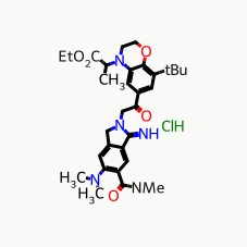 CCOC(=O)C(C)N1CCOc2c1cc(C(=O)CN1Cc3cc(N(C)C)c(C(=O)NC)cc3C1=N)cc2C(C)(C)C.Cl